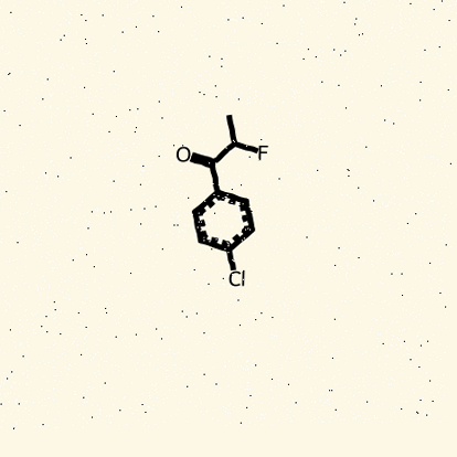 CC(F)C(=O)c1ccc(Cl)cc1